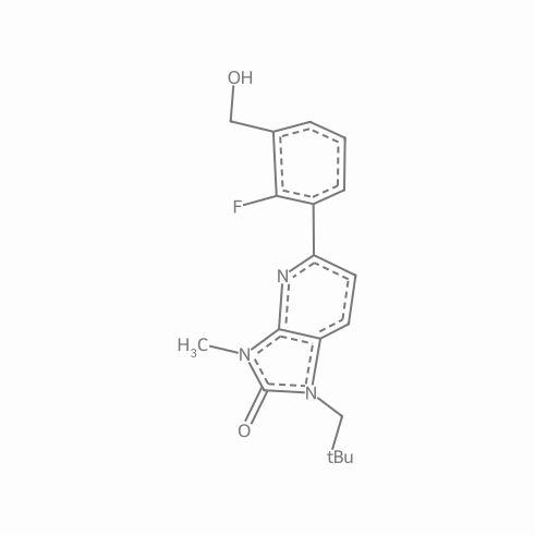 Cn1c(=O)n(CC(C)(C)C)c2ccc(-c3cccc(CO)c3F)nc21